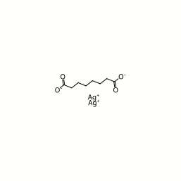 O=C([O-])CCCCCCC(=O)[O-].[Ag+].[Ag+]